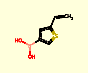 C=Cc1cc(B(O)O)cs1